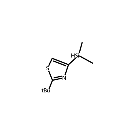 C[SiH](C)c1csc(C(C)(C)C)n1